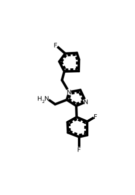 NCc1c(-c2ccc(F)cc2F)ncn1Cc1cccc(F)c1